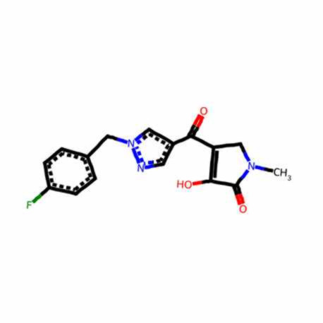 CN1CC(C(=O)c2cnn(Cc3ccc(F)cc3)c2)=C(O)C1=O